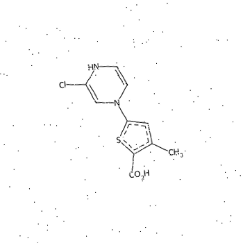 Cc1cc(N2C=CNC(Cl)=C2)sc1C(=O)O